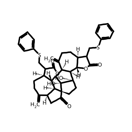 C=C1CC[C@H]2C(CSc3ccccc3)C(=O)O[C@@H]2[C@@H]2[C@H]1C[C@@]1(O)[C@]2(O)CC[C@]12C(=O)C[C@H]1C(=C)CC[C@H]3C(CSc4ccccc4)C(=O)O[C@@H]3[C@H]12